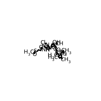 C#C[C@]1(COC(=O)CC(C)(C)c2c(C)cc(C)cc2OC(C)=O)O[C@@H](n2cnc3c(NC(=O)CCCSC(C)=O)nc(Cl)nc32)C[C@@H]1O